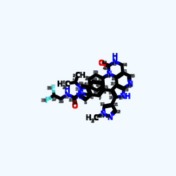 CC(C)n1ncc2cc(-c3c(-c4cnn(C)c4)[nH]c4ncc5c(c34)N(C3CCC4(CC3)CN(C(=O)NCC(F)F)C4)C(=O)NC5)ccc21